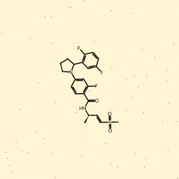 C[C@H](/C=C/S(C)(=O)=O)NC(=O)c1ccc(N2CCCC2c2cc(F)ccc2F)cc1F